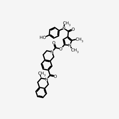 Cc1c(C(=O)N(C)c2ccc(O)cc2)cc(OC(=O)N2CCc3ccc(C(=O)N4Cc5ccccc5C[C@H]4C)cc3C2)n1C